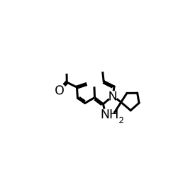 C=C(/C=C\C(C)=C(/N)N(/C=C/C)C1(C)CCCC1)C(C)=O